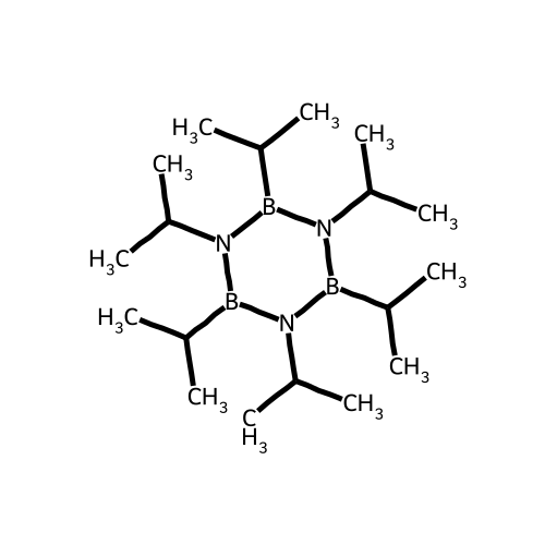 CC(C)B1N(C(C)C)B(C(C)C)N(C(C)C)B(C(C)C)N1C(C)C